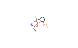 C=CC(=O)N(C)Cc1oc2c(P)cccc2c1C